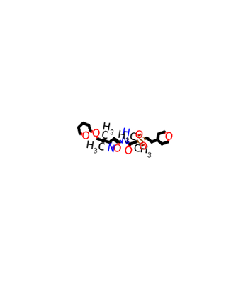 CC(C)(COC1CCCCO1)c1cc(NC(=O)C(C)(C)S(=O)(=O)CCC2CCOCC2)on1